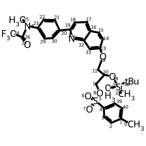 Cc1ccc(S(=O)(=O)OCC(COc2ccc3ccc(-c4ccc(N(C)C(=O)C(F)(F)F)cc4)nc3c2)O[Si](C)(C)C(C)(C)C)cc1